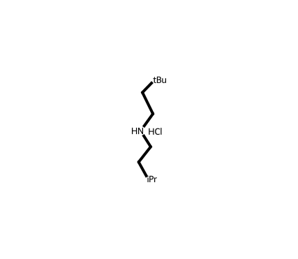 CC(C)CCNCCC(C)(C)C.Cl